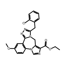 CCOC(=O)c1ncn2c1Cn1c(Cc3ccccc3Cl)nnc1-c1cc(OC)ccc1-2